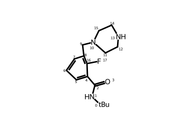 CC(C)(C)NC(=O)c1cccc(CN2CCNCC2)c1F